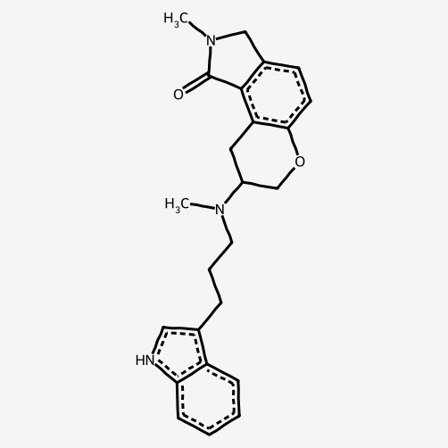 CN1Cc2ccc3c(c2C1=O)CC(N(C)CCCc1c[nH]c2ccccc12)CO3